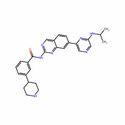 CC(C)Nc1cncc(-c2ccc3cnc(NC(=O)c4cccc(C5CCNCC5)c4)nc3c2)n1